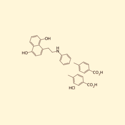 Cc1ccc(C(=O)O)cc1.Cc1ccc(C(=O)O)cc1.Cl.Oc1ccc(CCNc2ccccc2)c2c(O)cccc12